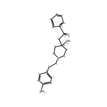 Nc1ccc(CCN2CCC(O)(CC(=O)c3ccccc3)CC2)cc1